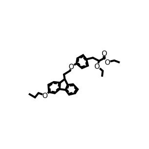 CCCOc1ccc2c(c1)-c1ccccc1C2CCOc1ccc(CC(OCC)C(=O)OCC)cc1